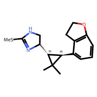 CSC1=NC([C@@H]2[C@@H](c3cccc4c3CCO4)C2(C)C)CN1